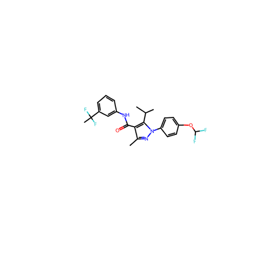 Cc1nn(-c2ccc(OC(F)F)cc2)c(C(C)C)c1C(=O)Nc1cccc(C(C)(F)F)c1